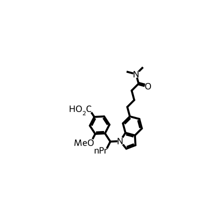 CCCC(c1ccc(C(=O)O)cc1OC)n1ccc2ccc(CCCC(=O)N(C)C)cc21